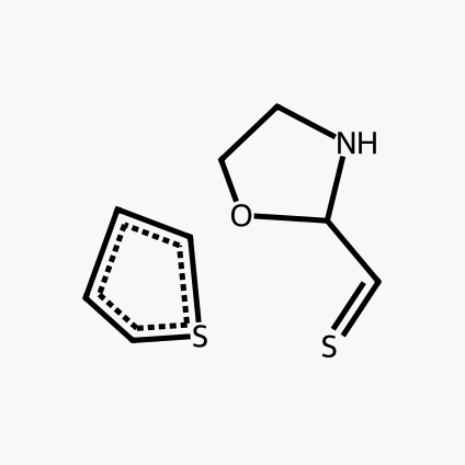 S=CC1NCCO1.c1ccsc1